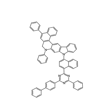 c1ccc(-c2ccc(-c3nc(-c4ccccc4)nc(-c4ccc(-n5c6ccccc6c6cc7c(cc65)N(c5ccccc5)Cc5cc(-c6ccccc6)c6ccccc6c5-7)c5ccccc45)n3)cc2)cc1